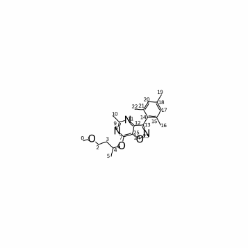 COCCC(C)Oc1nc(C)nc2c(-c3c(C)cc(C)cc3C)noc12